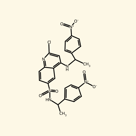 CC(Nc1cc(Cl)nc2ccc(S(=O)(=O)NC(C)c3ccc([N+](=O)[O-])cc3)cc12)c1ccc([N+](=O)[O-])cc1